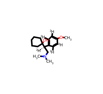 [2H]c1c([2H])c([C@@]([2H])(CN(C)C)C2(O)CCCCC2)c([2H])c([2H])c1OC